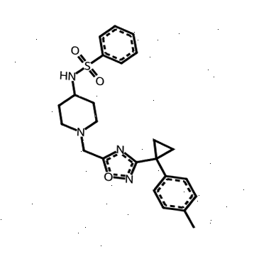 Cc1ccc(C2(c3noc(CN4CCC(NS(=O)(=O)c5ccccc5)CC4)n3)CC2)cc1